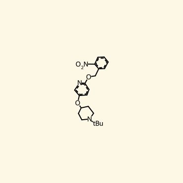 CC(C)(C)N1CCC(Oc2ccc(OCc3ccccc3[N+](=O)[O-])nc2)CC1